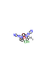 CC1CN(c2ccncc2)CCN1C(OC(c1ccccc1)(c1ccccc1)N1CCN(c2ccncc2)CC1C)(c1ccccc1)c1ccccc1.Cl